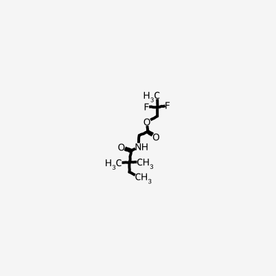 CCC(C)(C)C(=O)NCC(=O)OCC(C)(F)F